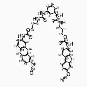 N#COc1ccc2c(c1)Cc1cc(NC(=O)OCCCNC(=S)Nc3cccc(NC(=S)NCCCOC(=O)Nc4ccc5c(c4)Cc4cc(N=C=O)ccc4C5)c3)ccc1-2